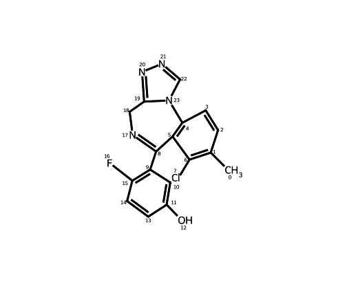 Cc1ccc2c(c1Cl)C(c1cc(O)ccc1F)=NCc1nncn1-2